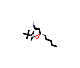 CCCCC[C@@H](C=CI)O[Si](C)(C)C(C)(C)C